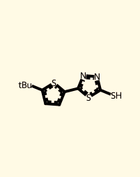 CC(C)(C)c1ccc(-c2nnc(S)s2)s1